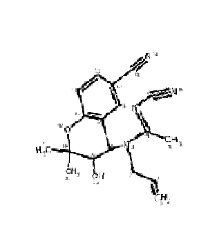 C=CCN(C(C)=NC#N)C1c2cc(C#N)ccc2OC(C)(C)C1O